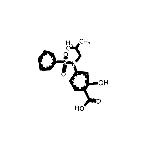 CC(C)CN(c1ccc(C(=O)O)c(O)c1)S(=O)(=O)c1ccccc1